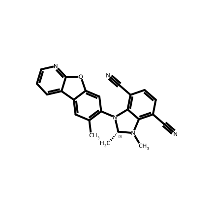 Cc1cc2c(cc1N1c3c(C#N)ccc(C#N)c3N(C)[C@@H]1C)oc1ncccc12